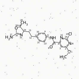 COc1cc(C(=O)Nc2ccc(CCC3N=C(N)O[C@H]3C)cc2)nc(Cl)n1